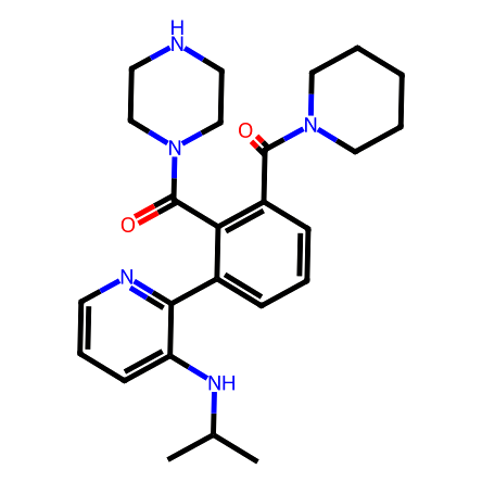 CC(C)Nc1cccnc1-c1cccc(C(=O)N2CCCCC2)c1C(=O)N1CCNCC1